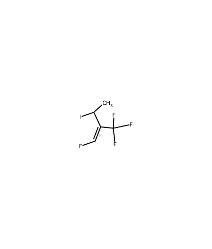 CC(I)/C(=C\F)C(F)(F)F